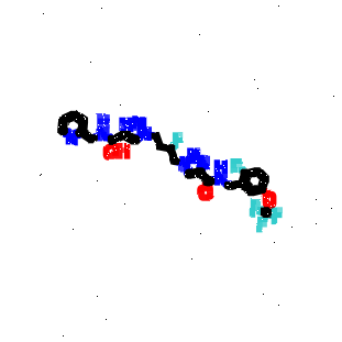 O=C(NCc1cc(OC(F)(F)F)ccc1F)c1cn(CC(F)CCn2cc(C(O)NCc3ccccn3)nn2)nn1